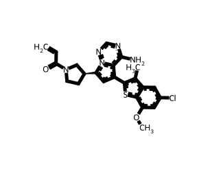 C=CC(=O)N1CC[C@H](c2cc(-c3sc4c(OC)cc(Cl)cc4c3C)c3c(N)ncnn23)C1